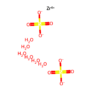 O.O.O.O.O.O.O=S(=O)([O-])[O-].O=S(=O)([O-])[O-].[Zr+4]